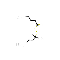 CCCCCCCCCCCCC(=S)SSC(C)(C#N)CCC(=O)O